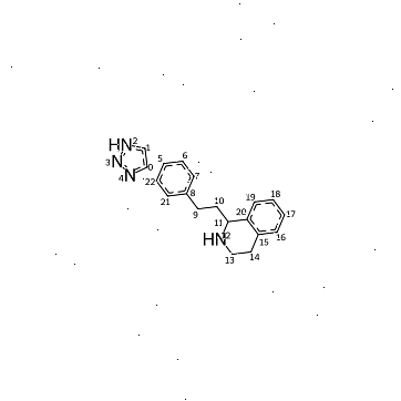 c1c[nH]nn1.c1ccc(CCC2NCCc3ccccc32)cc1